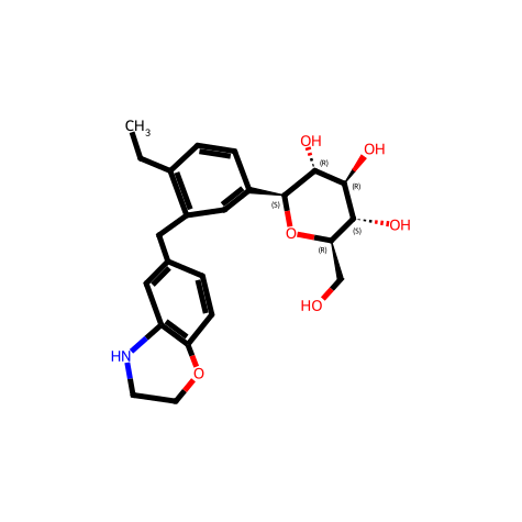 CCc1ccc([C@@H]2O[C@H](CO)[C@@H](O)[C@H](O)[C@H]2O)cc1Cc1ccc2c(c1)NCCO2